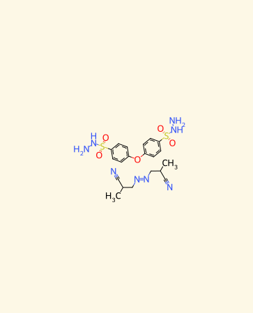 CC(C#N)CN=NCC(C)C#N.NNS(=O)(=O)c1ccc(Oc2ccc(S(=O)(=O)NN)cc2)cc1